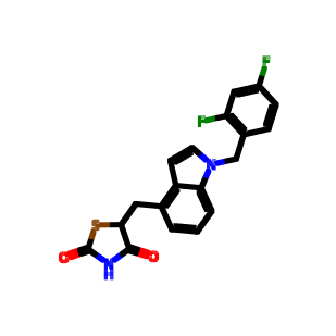 O=C1NC(=O)C(Cc2cccc3c2ccn3Cc2ccc(F)cc2F)S1